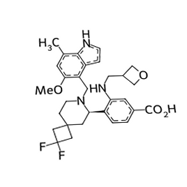 COc1cc(C)c2[nH]ccc2c1CN1CCC2(C[C@@H]1c1ccc(C(=O)O)cc1NCC1COC1)CC(F)(F)C2